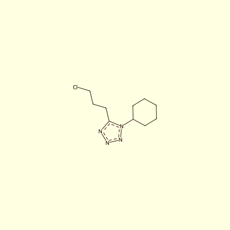 ClCCCc1nnnn1C1CCCCC1